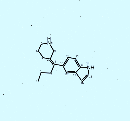 CCC/C(=C1\CCCNC1)c1ccc2[nH]ccc2c1